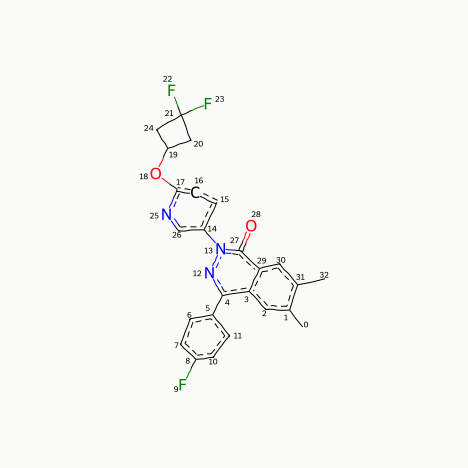 Cc1cc2c(-c3ccc(F)cc3)nn(-c3ccc(OC4CC(F)(F)C4)nc3)c(=O)c2cc1C